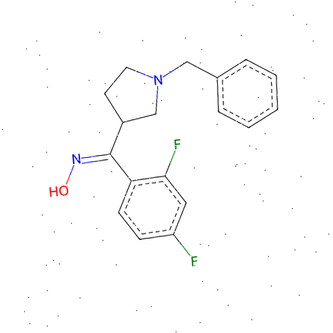 O/N=C(\c1ccc(F)cc1F)C1CCN(Cc2ccccc2)C1